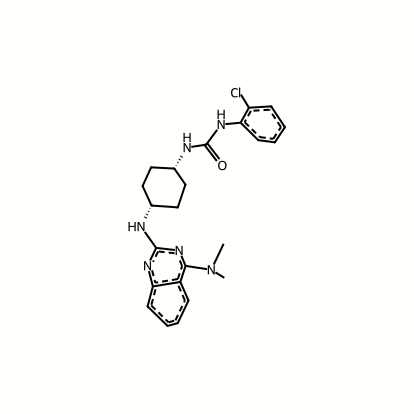 CN(C)c1nc(N[C@H]2CC[C@@H](NC(=O)Nc3ccccc3Cl)CC2)nc2ccccc12